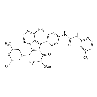 CON(C)C(=O)c1c(-c2ccc(NC(=O)Nc3cc(C(F)(F)F)ccn3)cc2)c2c(N)ncnn2c1CN1CC(C)OC(C)C1